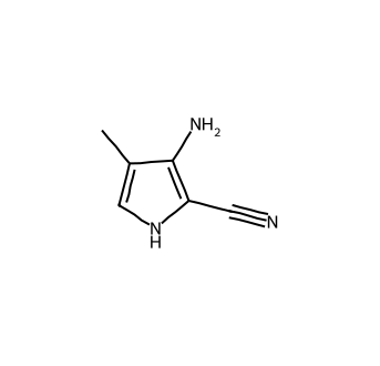 Cc1c[nH]c(C#N)c1N